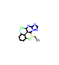 CC(C)CSc1c(-c2c(F)cccc2Cl)c(Cl)nc2ncnn12